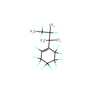 FC1=C(C(C(F)(F)F)(C(F)(F)F)C(F)(C(F)(F)F)C(F)(F)C(F)(F)F)C(F)(F)C(F)(F)C(F)(F)C1(F)F